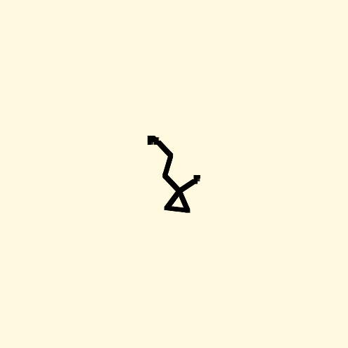 CC(C)CCC1(F)CC1